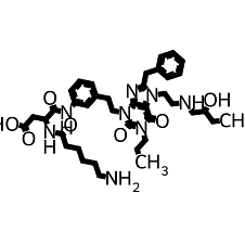 CCCn1c(=O)c2c(nc(Cc3ccccc3)n2CCNCC(O)CC)n(CCc2cccc(NC(=O)C(CC(=O)O)NC(=O)CCCCCN)c2)c1=O